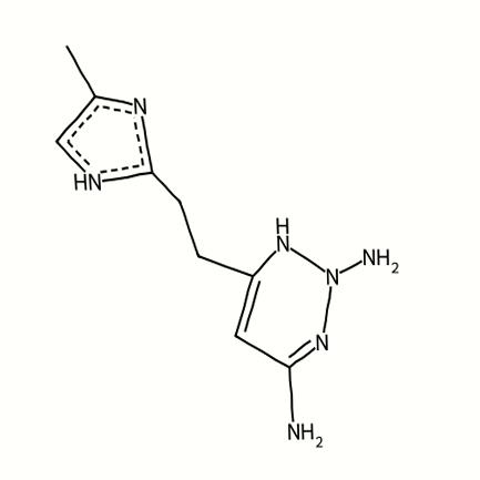 Cc1c[nH]c(CCC2=CC(N)=NN(N)N2)n1